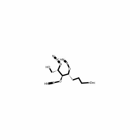 CCCCCCCCCCCCC[C@@H](OB=N)[C@@H](OB=N)[C@H](CO)N=[N+]=[N-]